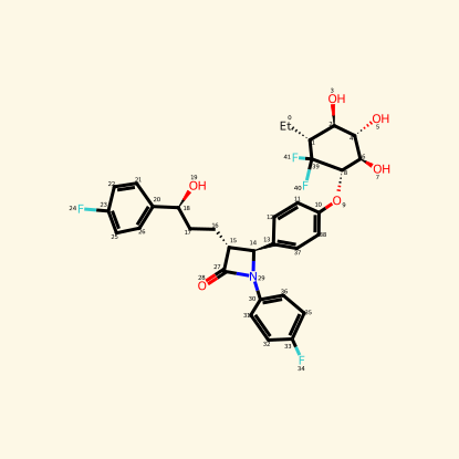 CC[C@@H]1[C@@H](O)[C@H](O)[C@@H](O)[C@H](Oc2ccc([C@@H]3[C@@H](CC[C@H](O)c4ccc(F)cc4)C(=O)N3c3ccc(F)cc3)cc2)C1(F)F